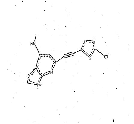 CNc1cc(C#Cc2ccc(Cl)s2)nc2[nH]cnc12